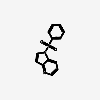 O=S(=O)(c1ccccc1)n1ccc2ncccc21